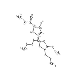 CCCC[CH2][Sn]([CH2]CCC)([CH2]CCC)[c]1cc(F)c(C(=O)OC)s1